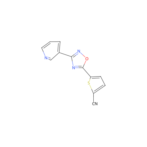 N#Cc1ccc(-c2nc(-c3cccnc3)no2)s1